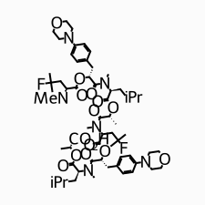 CN[C@@H](CC(C)(C)F)C(=O)O[C@H](Cc1ccc(N2CCOCC2)cc1)C(=O)N(C)[C@@H](CC(C)C)C(=O)O[C@H](C)C(=O)N(C)C(CC(C)(C)F)C(=O)O[C@H](Cc1ccc(N2CCOCC2)cc1)C(=O)N(C)[C@@H](CC(C)C)C(=O)O[C@H](C)C(=O)O